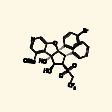 COc1cncc2c1[C@]1(O)[C@H](O)[C@H](S(=O)(=O)CC(F)(F)F)[C@@H](c3ccccc3)[C@]1(c1ccc(Br)cc1)O2